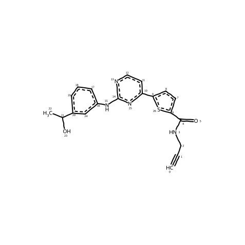 C#CCNC(=O)c1ccc(-c2ccnc(Nc3cccc(C(C)O)c3)n2)s1